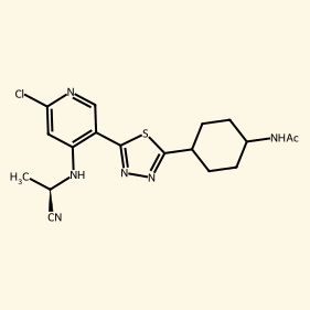 CC(=O)NC1CCC(c2nnc(-c3cnc(Cl)cc3N[C@H](C)C#N)s2)CC1